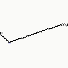 O=C(O)CCCCCCCCCCCCCCCCCCCCCCCCCCCCCCCCCCCCCCC/C=C\CCCCCCCCO